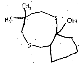 CC1(C)CSC2CCCCC2(O)SC1